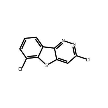 Clc1cc2sc3c(Cl)cccc3c2nn1